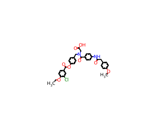 CCOc1ccc(C(=O)Oc2ccc(CN(CC(=O)O)C(=O)c3ccc(NC(=O)Cc4ccc(OC)cc4)cc3)cc2)cc1Cl